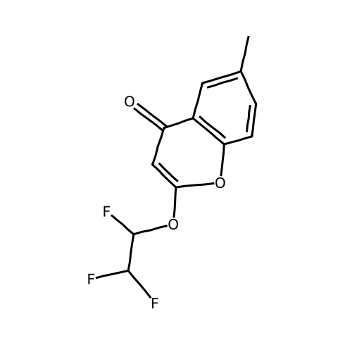 Cc1ccc2oc(OC(F)C(F)F)cc(=O)c2c1